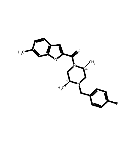 Cc1ccc2cc(C(=O)N3C[C@H](C)N(Cc4ccc(F)cc4)C[C@H]3C)oc2c1